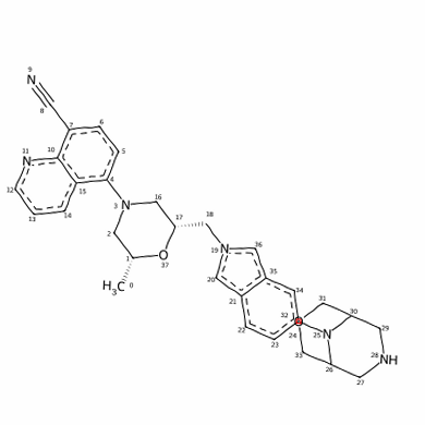 C[C@@H]1CN(c2ccc(C#N)c3ncccc23)C[C@H](Cn2cc3ccc(N4C5CNCC4COC5)cc3c2)O1